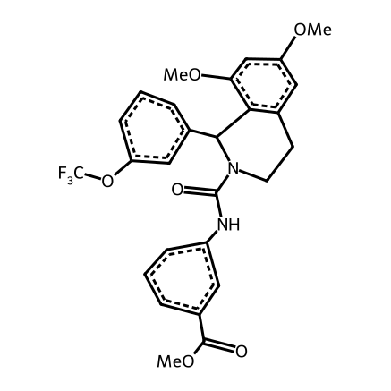 COC(=O)c1cccc(NC(=O)N2CCc3cc(OC)cc(OC)c3C2c2cccc(OC(F)(F)F)c2)c1